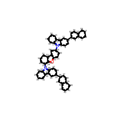 c1ccc2cc(-c3ccc4c(c3)c3ccccc3n4-c3ccc4oc5c(-n6c7ccccc7c7cc(-c8ccc9ccccc9c8)ccc76)cccc5c4c3)ccc2c1